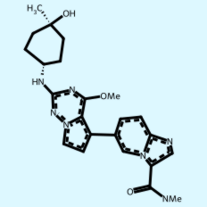 CNC(=O)c1cnc2ccc(-c3ccn4nc(N[C@H]5CC[C@](C)(O)CC5)nc(OC)c34)cn12